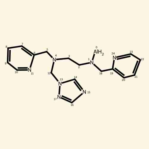 [AlH2][N](CCN(Cc1ccccn1)Cn1cncn1)Cc1ccccn1